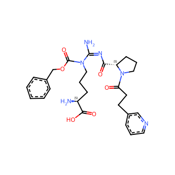 NC(=NC(=O)[C@@H]1CCCN1C(=O)CCc1cccnc1)N(CCC[C@H](N)C(=O)O)C(=O)OCc1ccccc1